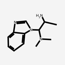 CC(N)C(N(C)C)n1cnc2ccccc21